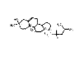 CC(C)CC(F)(F)C[C@H]1CCC2C3CC=C4C[C@@](C)(O)CC[C@]4(C)C3CC[C@@]21C